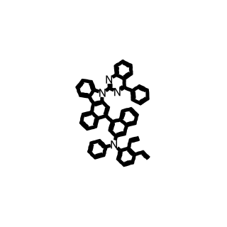 C=Cc1cccc(N(c2ccccc2)c2cc(-c3cc4c(c5ccccc35)c3ccccc3n4-c3nc(-c4ccccc4)c4ccccc4n3)c3ccccc3c2)c1C=C